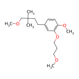 COCCCOc1cc(CCC(C)(C)COC)ccc1OC